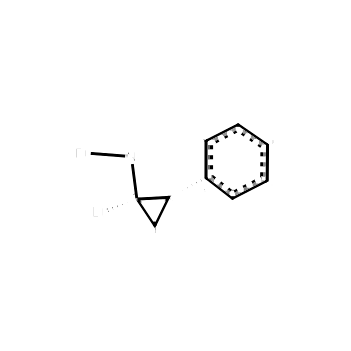 CCN[C@]1(CC)C[C@H]1c1ccccc1